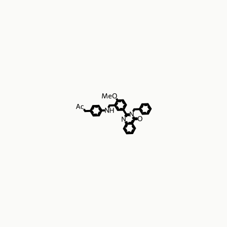 COc1ccc(-c2nc3ccccc3c(=O)n2Cc2ccccc2)cc1CNc1ccc(CC(C)=O)cc1